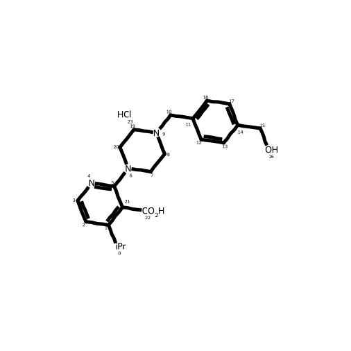 CC(C)c1ccnc(N2CCN(Cc3ccc(CO)cc3)CC2)c1C(=O)O.Cl